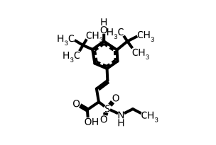 CCNS(=O)(=O)C(/C=C/c1cc(C(C)(C)C)c(O)c(C(C)(C)C)c1)C(=O)O